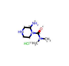 CN(C)C(=O)N1CCNCC1N.Cl